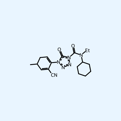 CCN(C(=O)n1nnn(C2=CCC(C)C=C2C#N)c1=O)C1CCCCC1